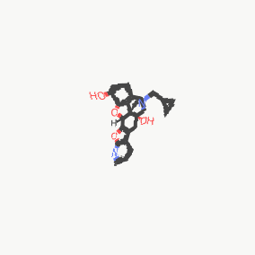 Oc1ccc2c3c1O[C@H]1c4oc5ncccc5c4C[C@@]4(O)C(C2)N(CC2CC2)CC[C@]314